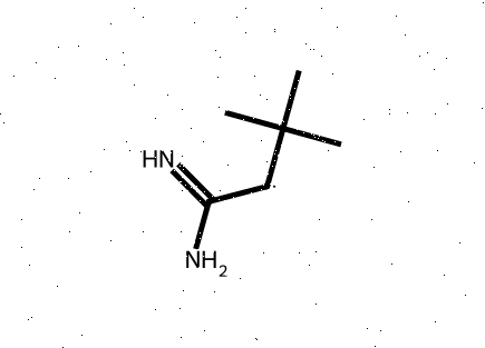 CC(C)(C)[CH]C(=N)N